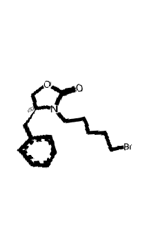 O=C1OC[C@H](Cc2ccccc2)N1CCCCCBr